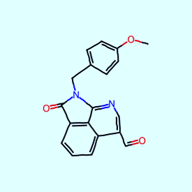 COc1ccc(CN2C(=O)c3cccc4c(C=O)cnc2c34)cc1